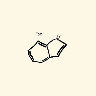 [Se].c1ccc2[nH]ccc2c1